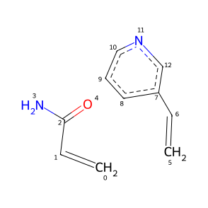 C=CC(N)=O.C=Cc1cccnc1